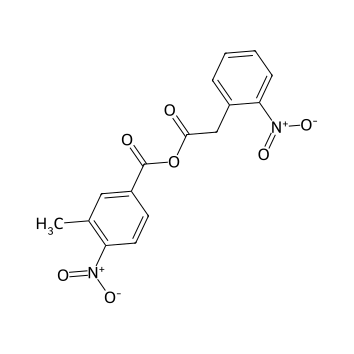 Cc1cc(C(=O)OC(=O)Cc2ccccc2[N+](=O)[O-])ccc1[N+](=O)[O-]